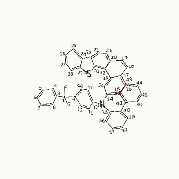 CC(C)(c1ccccc1)c1ccc(N(c2ccc3ccc4ccc5c6ccccc6sc5c4c3c2)c2ccccc2-c2ccccc2)cc1